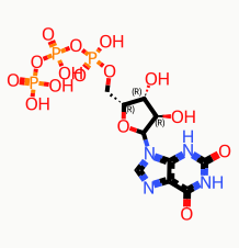 O=c1[nH]c(=O)c2ncn(C3O[C@H](COP(=O)(O)OP(=O)(O)OP(=O)(O)O)[C@H](O)[C@H]3O)c2[nH]1